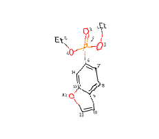 CCOP(=O)(OCC)c1ccc2ccoc2c1